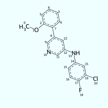 COc1ccccc1-c1cncc(Nc2ccc(F)c(Cl)c2)c1